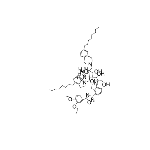 CCCCCCCCc1ccc2c(c1)CCN(CC(N)(CO)C(O)C(O)(C(O)C(CO)N1CCc3c(-c4noc(-c5ccc(OCC)c(OCC)c5)n4)cccc31)C(N)(CO)CN1CCc3c(CCCCCCCC)cccc31)CC2